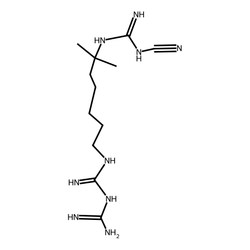 CC(C)(CCCCCNC(=N)NC(=N)N)NC(=N)NC#N